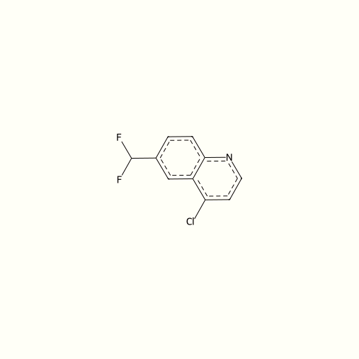 FC(F)c1ccc2nccc(Cl)c2c1